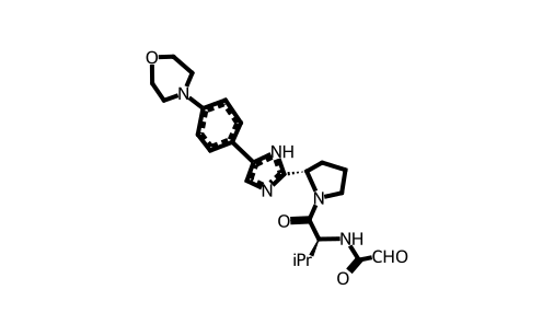 CC(C)[C@H](NC(=O)C=O)C(=O)N1CCC[C@H]1c1ncc(-c2ccc(N3CCOCC3)cc2)[nH]1